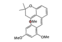 COc1cc(OC)c(/C=c2/cccc3c2=C(C)CC(C)(C)O3)c(OC)c1